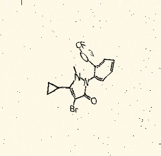 Cn1c(C2CC2)c(Br)c(=O)n1-c1ccccc1OC(F)(F)F